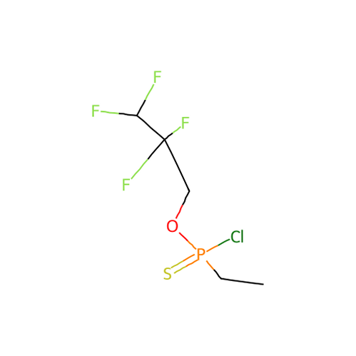 CCP(=S)(Cl)OCC(F)(F)C(F)F